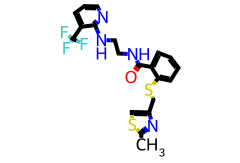 Cc1nc(CSc2ccccc2C(=O)NCCNc2ncccc2C(F)(F)F)cs1